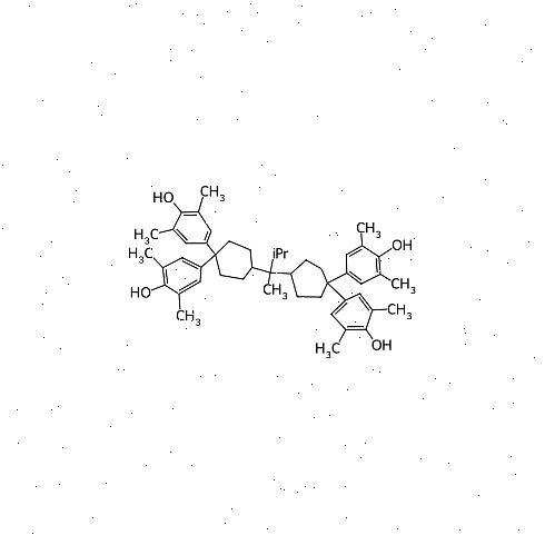 Cc1cc(C2(c3cc(C)c(O)c(C)c3)CCC(C(C)(C(C)C)C3CCC(c4cc(C)c(O)c(C)c4)(c4cc(C)c(O)c(C)c4)CC3)CC2)cc(C)c1O